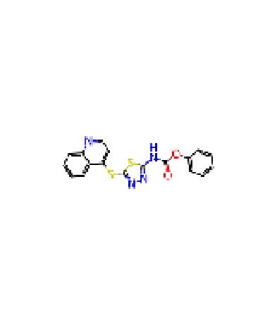 O=C(Nc1nnc(Sc2ccnc3ccccc23)s1)Oc1ccccc1